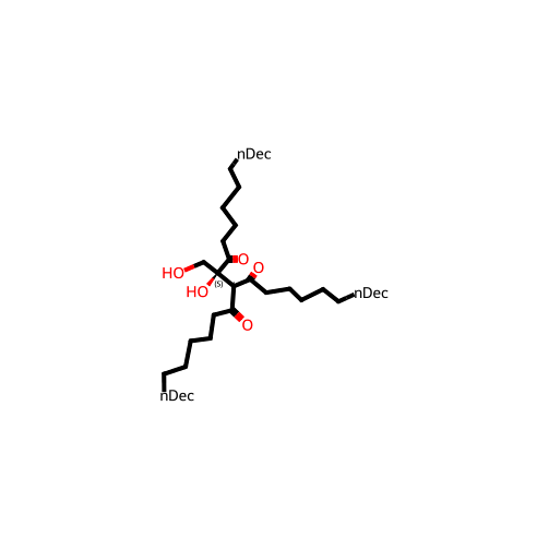 CCCCCCCCCCCCCCCC(=O)[C](C(=O)CCCCCCCCCCCCCCC)[C@](O)(CO)C(=O)CCCCCCCCCCCCCCC